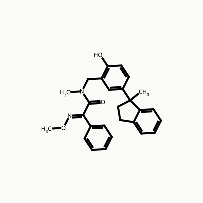 CON=C(C(=O)N(C)Cc1cc(C2(C)CCc3ccccc32)ccc1O)c1ccccc1